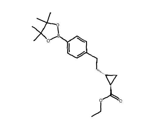 CCOC(=O)[C@@H]1C[C@H]1CCc1ccc(B2OC(C)(C)C(C)(C)O2)cc1